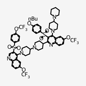 CCCCOc1ccc(S(=O)(=O)c2c(C3CCN(C4CCN(c5c(S(=O)(=O)c6ccc(OC(F)(F)F)cc6)cnc6ccc(OC(F)(F)F)cc56)CC4)CC3)nc3ccc(OC(F)(F)F)cc3c2N2CCC(N3CCCCC3)CC2)cc1